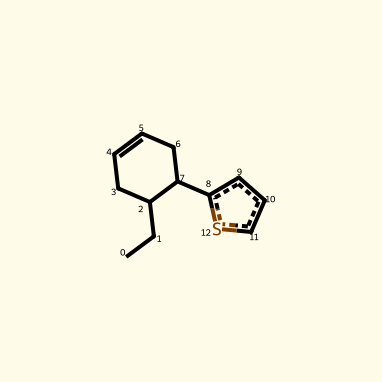 CCC1CC=CCC1c1cccs1